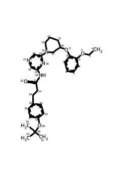 CCOc1ccccc1OC1CCCN(c2cncc(NC(=O)CCc3ccc(OC(C)(C)C)cc3)n2)C1